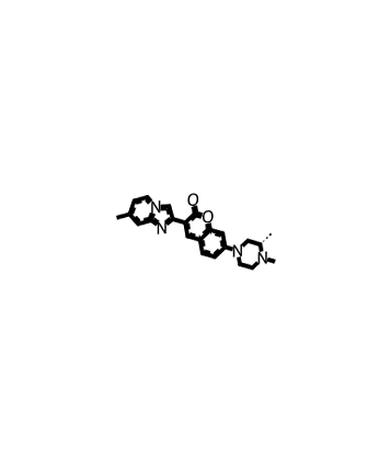 Cc1ccn2cc(-c3cc4ccc(N5CCN(C)[C@@H](C)C5)cc4oc3=O)nc2c1